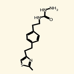 Cc1nc(CCc2ccc(CCNC(=O)NN)cc2)cs1